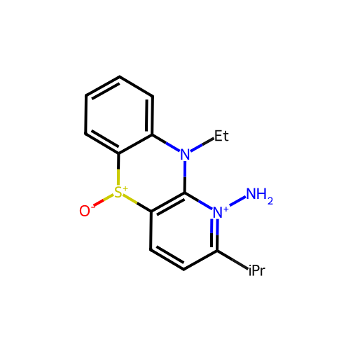 CCN1c2ccccc2[S+]([O-])c2ccc(C(C)C)[n+](N)c21